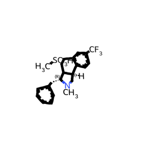 CN1C[C@@H]2c3ccc(C(F)(F)F)cc3CCC2[C@H]1Cc1ccccc1.CS(=O)(=O)O